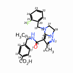 Cc1nn2c(c1C(=O)N[C@@H](C)c1ccc(C(=O)O)cc1)N(Cc1ccccc1F)CC2